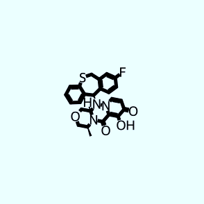 C[C@H]1COC[C@@H]2N1C(=O)c1c(O)c(=O)ccn1N2[C@H]1c2ccc(F)cc2CSc2ccccc21